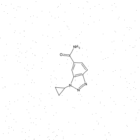 NC(=O)c1ccc2nnn(C3CC3)c2c1